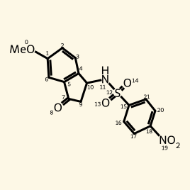 COc1ccc2c(c1)C(=O)CC2NS(=O)(=O)c1ccc([N+](=O)[O-])cc1